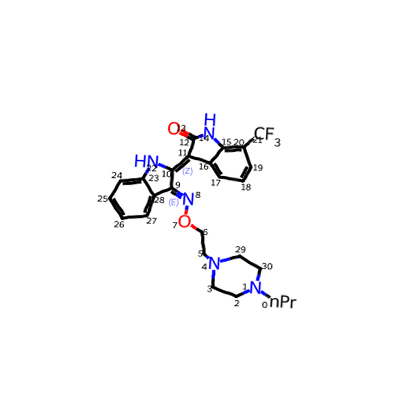 CCCN1CCN(CCO/N=C2/C(=C3/C(=O)Nc4c3cccc4C(F)(F)F)Nc3ccccc32)CC1